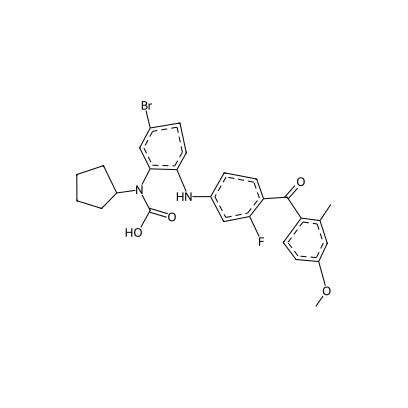 COc1ccc(C(=O)c2ccc(Nc3ccc(Br)cc3N(C(=O)O)C3CCCC3)cc2F)c(C)c1